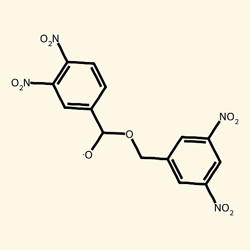 [O]C(OCc1cc([N+](=O)[O-])cc([N+](=O)[O-])c1)c1ccc([N+](=O)[O-])c([N+](=O)[O-])c1